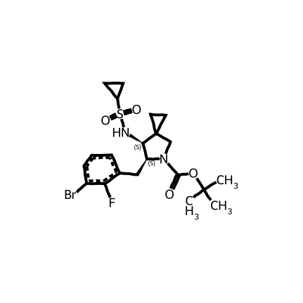 CC(C)(C)OC(=O)N1CC2(CC2)[C@H](NS(=O)(=O)C2CC2)[C@@H]1Cc1cccc(Br)c1F